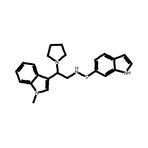 Cn1cc(C(CNSc2ccc3cc[nH]c3c2)N2CCCC2)c2ccccc21